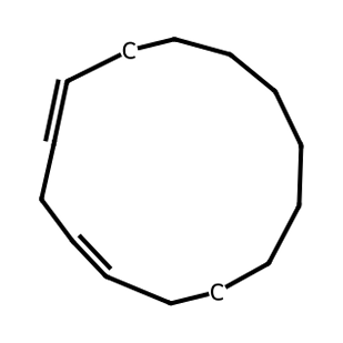 C1=CCCCCCCCCCC=CC1